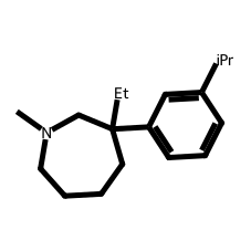 CCC1(c2cccc(C(C)C)c2)CCCCN(C)C1